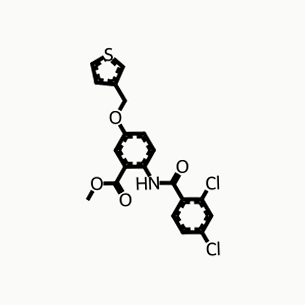 COC(=O)c1cc(OCc2ccsc2)ccc1NC(=O)c1ccc(Cl)cc1Cl